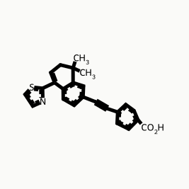 CC1(C)CC=C(c2nccs2)c2ccc(C#Cc3ccc(C(=O)O)cc3)cc21